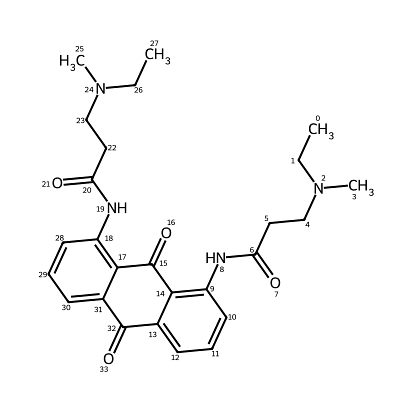 CCN(C)CCC(=O)Nc1cccc2c1C(=O)c1c(NC(=O)CCN(C)CC)cccc1C2=O